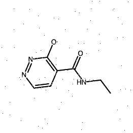 CCNC(=O)c1ccnnc1[O]